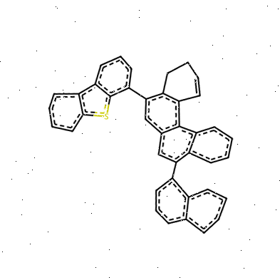 C1=Cc2c(c(-c3cccc4c3sc3ccccc34)cc3cc(-c4cccc5ccccc45)c4ccccc4c23)CC1